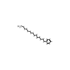 CCCCCCCCCCCCCCC[n+]1ccccc1